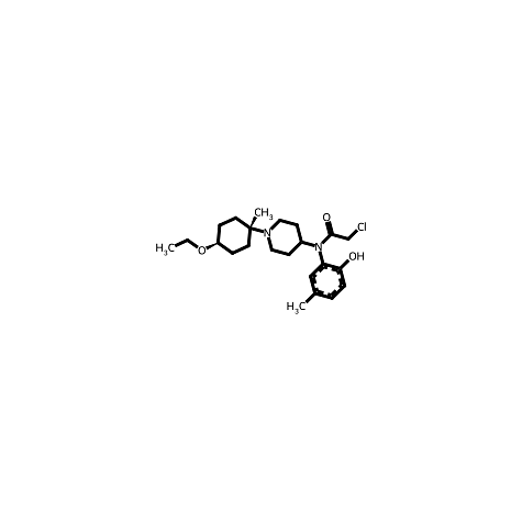 CCO[C@H]1CC[C@](C)(N2CCC(N(C(=O)CCl)c3cc(C)ccc3O)CC2)CC1